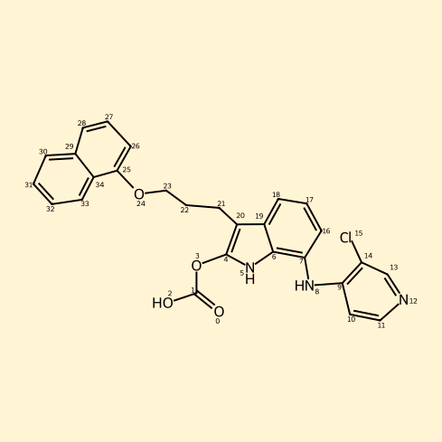 O=C(O)Oc1[nH]c2c(Nc3ccncc3Cl)cccc2c1CCCOc1cccc2ccccc12